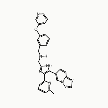 Cc1cccc(-c2nc(CN(I)Cc3cccc(Oc4cccnc4)c3)[nH]c2-c2ccc3ncnn3c2)n1